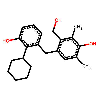 Cc1cc(Cc2cccc(O)c2C2CCCCC2)c(CO)c(C)c1O